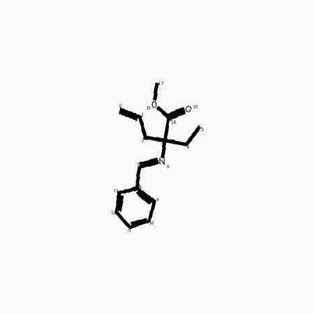 C=CCC(CC)(/N=C/c1ccccc1)C(=O)OC